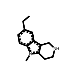 CCc1ccc2c(c1)c1c(n2C)CCNC1